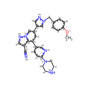 COc1ccc(Cn2cc(-c3cc(-c4ccc(N5CCNCC5)nc4)c4c(C#N)cnn4c3)cn2)cc1